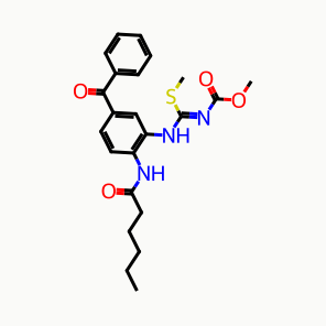 CCCCCC(=O)Nc1ccc(C(=O)c2ccccc2)cc1NC(=NC(=O)OC)SC